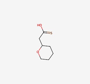 OC(=S)CC1CCCCO1